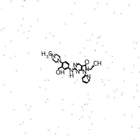 C#CCn1c(=O)c2cnc(Nc3ccc(N4CCN(C)CC4)c(CO)c3)nc2n1-c1ccccn1